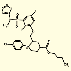 CCCCOC(=O)N1CC[C@@H](c2ccc(Cl)cc2)C(COc2cc(F)cc(S(=O)(=O)N(C)c3ncns3)c2F)C1